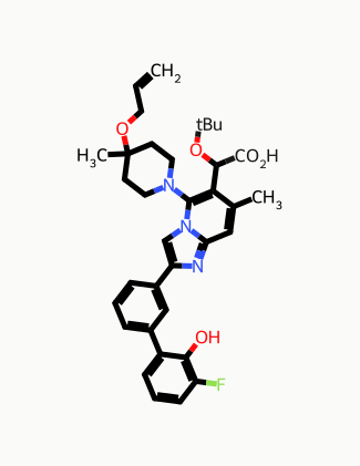 C=CCOC1(C)CCN(c2c(C(OC(C)(C)C)C(=O)O)c(C)cc3nc(-c4cccc(-c5cccc(F)c5O)c4)cn23)CC1